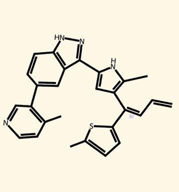 C=C/C=C(/c1ccc(C)s1)c1cc(-c2n[nH]c3ccc(-c4cnccc4C)cc23)[nH]c1C